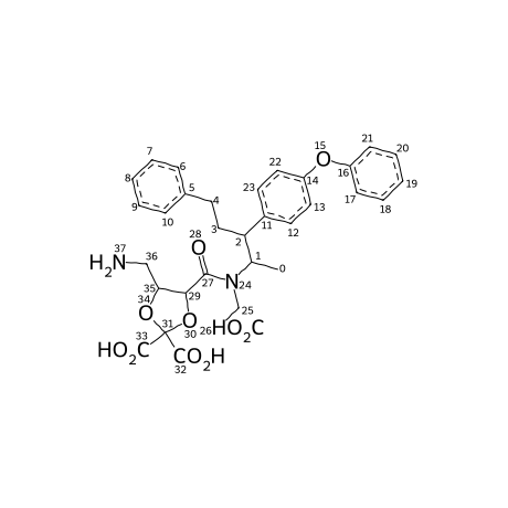 CC(C(CCc1ccccc1)c1ccc(Oc2ccccc2)cc1)N(CC(=O)O)C(=O)C1OC(C(=O)O)(C(=O)O)OC1CN